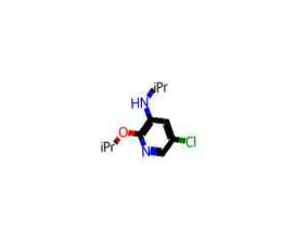 CC(C)Nc1cc(Cl)cnc1OC(C)C